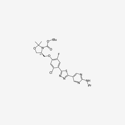 CC(C)Nc1ncc(-c2nnc(-c3cc(F)c(OC[C@H]4COC(C)(C)N4C(=O)OC(C)(C)C)cc3Cl)s2)cn1